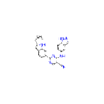 C=Cc1cc2ccc(-c3ncc(C#N)c(Nc4ccc5[nH]ncc5c4)n3)cc2[nH]1